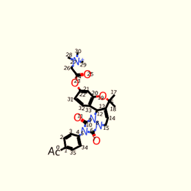 CC(=O)c1ccc(-n2c(=O)n3n(c2=O)C2C(=CC3)C(C)(C)Oc3cc(OC(=O)C[N+](C)(C)C)ccc32)cc1